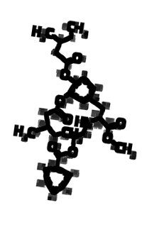 CCC(C)CC(=O)Oc1ccc(C[C@H](NCCOC(=O)c2ccccc2)C(=O)OC)cc1OC(=O)CC(C)CC